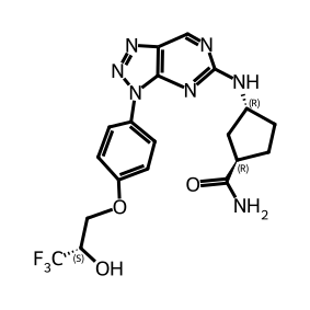 NC(=O)[C@@H]1CC[C@@H](Nc2ncc3nnn(-c4ccc(OC[C@H](O)C(F)(F)F)cc4)c3n2)C1